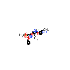 Cc1cc2c(F)c(Oc3ncnn4cc(OCC(CCS(C)(=O)=O)NC(=O)OCc5ccccc5)c(C)c34)ccc2[nH]1